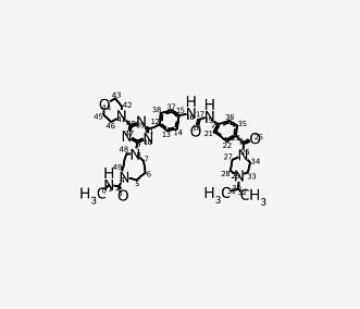 CNC(=O)N1CCCN(c2nc(-c3ccc(NC(=O)Nc4ccc(C(=O)N5CCN(C(C)C)CC5)cc4)cc3)nc(N3CCOCC3)n2)CC1